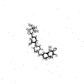 [2H]C([2H])([2H])NC(=O)c1ccc(N2CCN(Cc3ccc4nc(C)c(=O)[nH]c4c3)CC2)c(F)n1